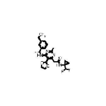 Cc1nc(CC(=O)NC2(C(F)F)CC2)c(C2OCCO2)c(N[C@H](C)c2cccc(CC(F)(F)F)c2)n1